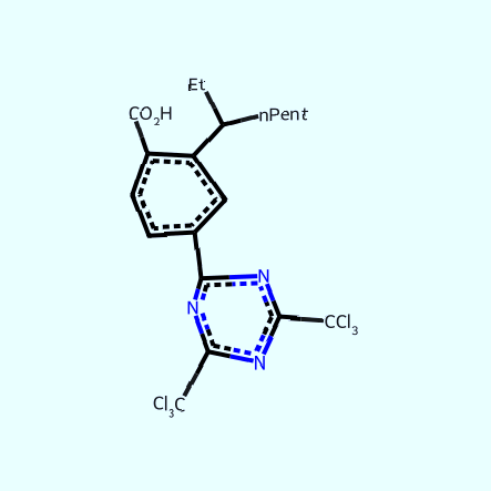 CCCCCC(CC)c1cc(-c2nc(C(Cl)(Cl)Cl)nc(C(Cl)(Cl)Cl)n2)ccc1C(=O)O